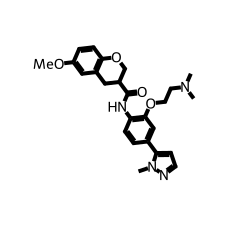 COc1ccc2c(c1)CC(C(=O)Nc1ccc(-c3ccnn3C)cc1OCCN(C)C)CO2